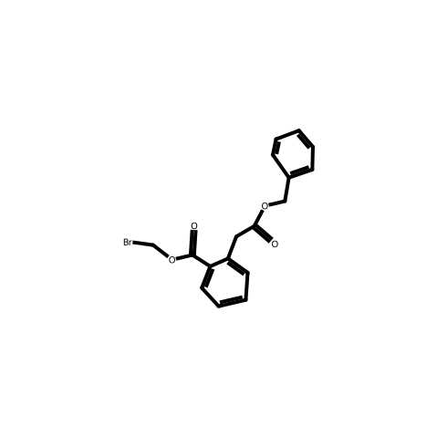 O=C(Cc1ccccc1C(=O)OCBr)OCc1ccccc1